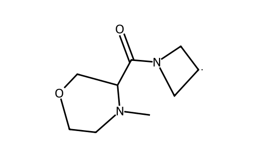 CN1CCOCC1C(=O)N1C[CH]C1